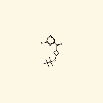 CC(C)(C)[Si](C)(C)O[C@H]1C[C@@H](C(=O)c2cccc(Br)n2)C1